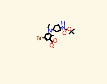 CCN(c1cc(Br)cc(C(=O)OC)c1C)C1CCC(NC(=O)OC(C)(C)C)CC1